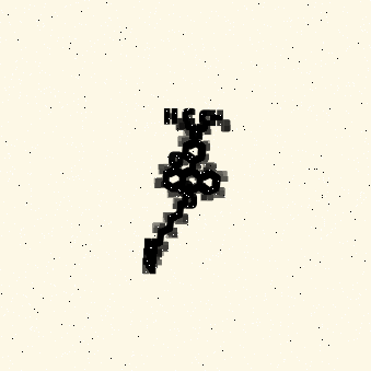 CCN(CC)c1ccc2c(c1)OC1=CCC=CC1=C2c1ccccc1C(=O)OCCCCCCN=[N+]=[N-]